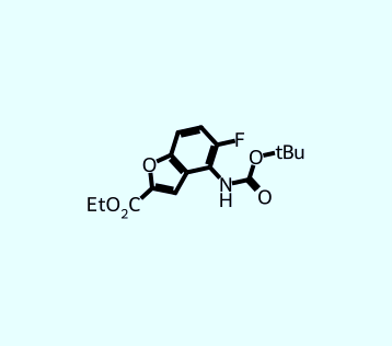 CCOC(=O)c1cc2c(NC(=O)OC(C)(C)C)c(F)ccc2o1